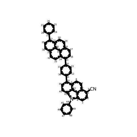 N#Cc1ccc2c3c1ccc1c(-c4ccc(-c5ccc6ccc7c(-c8ccccc8)ccc8ccc5c6c87)cc4)ccc(c13)n2-c1ccccc1